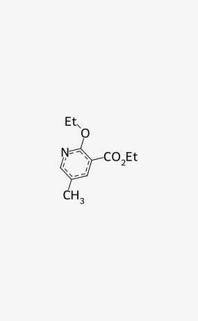 CCOC(=O)c1cc(C)cnc1OCC